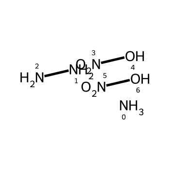 N.NN.O=[N+]([O-])O.O=[N+]([O-])O